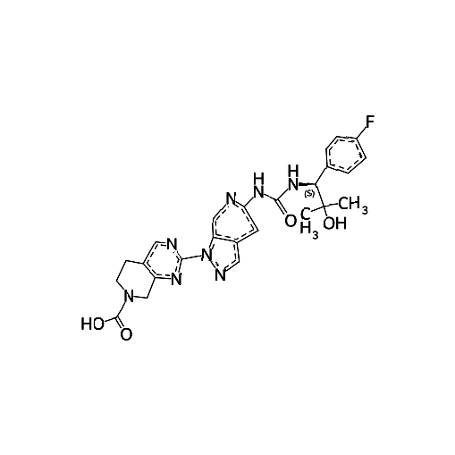 CC(C)(O)[C@@H](NC(=O)Nc1cc2cnn(-c3ncc4c(n3)CN(C(=O)O)CC4)c2cn1)c1ccc(F)cc1